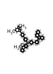 CCC1C[C@H](C)CC2C(c3ccc(-c4ccc(N(c5ccc(-c6cccc(-n7c8ccccc8c8c9ccccc9ccc87)c6)cc5)c5ccc6c(c5)C(C)(C)c5ccccc5-6)cc4)cc3)C[C@@H]12